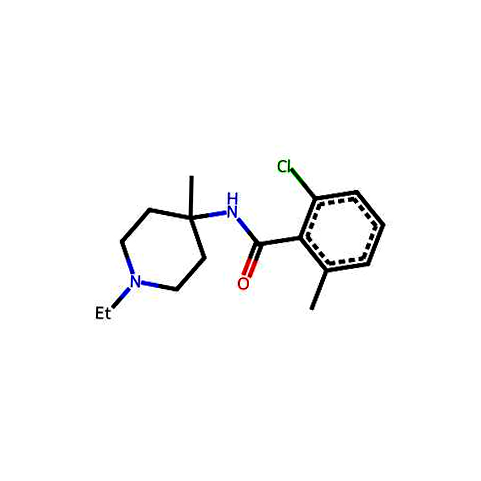 CCN1CCC(C)(NC(=O)c2c(C)cccc2Cl)CC1